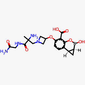 CC(N)(CN1CC(Oc2ccc3c(c2C(=O)O)OB(O)[C@H]2C[C@@H]32)C1)C(=O)NCC(N)=O